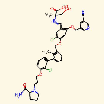 Cc1c(COc2cc(OCc3cncc(C#N)c3)c(CN[C@](C)(CO)C(=O)O)cc2Cl)cccc1-c1cccc(OCCCN2CCC[C@H]2C(N)=O)c1Cl